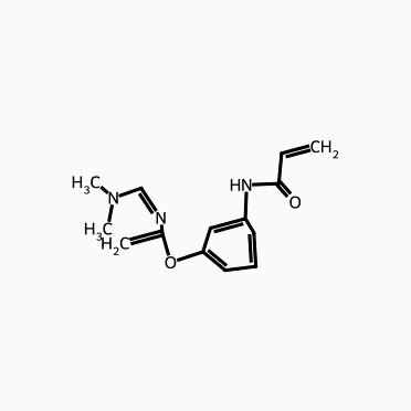 C=CC(=O)Nc1cccc(OC(=C)/N=C\N(C)C)c1